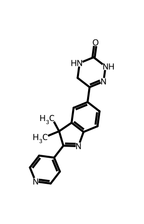 CC1(C)C(c2ccncc2)=Nc2ccc(C3=NNC(=O)NC3)cc21